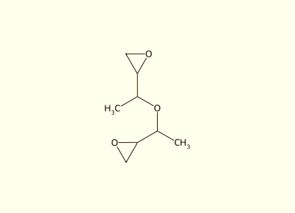 CC(OC(C)C1CO1)C1CO1